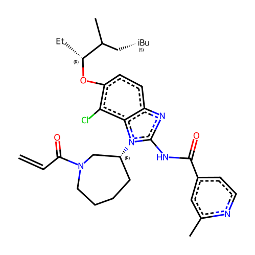 C=CC(=O)N1CCCC[C@@H](n2c(NC(=O)c3ccnc(C)c3)nc3ccc(O[C@H](CC)C(C)C[C@@H](C)CC)c(Cl)c32)C1